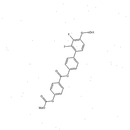 CCCCCCCCOc1ccc(-c2ccc(OC(=O)c3ccc(OC(=O)OC)cc3)cc2)c(F)c1F